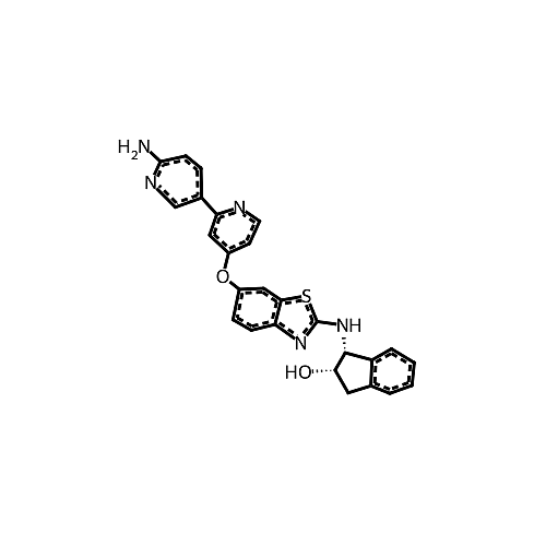 Nc1ccc(-c2cc(Oc3ccc4nc(N[C@@H]5c6ccccc6C[C@@H]5O)sc4c3)ccn2)cn1